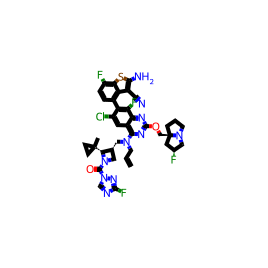 C=CCN(C[C@@H]1CN(C(=O)n2cnc(F)n2)[C@@H]1C1(C)CC1)c1nc(OC[C@@]23CCCN2C[C@H](F)C3)nc2c(F)c(-c3ccc(F)c4sc(N)c(C#N)c34)c(Cl)cc12